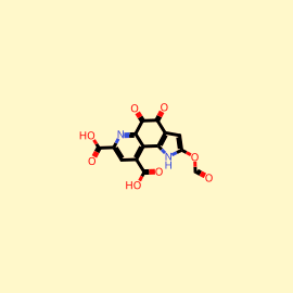 O=COc1cc2c([nH]1)-c1c(C(=O)O)cc(C(=O)O)nc1C(=O)C2=O